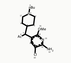 CCCCN1CCC(C(C(C)=O)c2cc(Cl)c(N)nc2OC)CC1